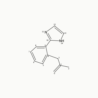 C=C(C)Cc1ccccc1-c1ncc[nH]1